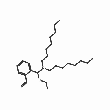 C=Cc1ccccc1C(OCC)N(CCCCCCCC)CCCCCCCC